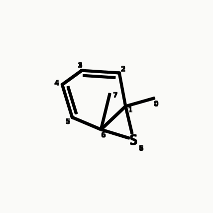 CC12C=CC=CC1(C)S2